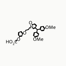 COc1ccc(C(c2ccc(OC)cc2)c2ccc(=O)n(CCCOc3cccc(OCC(=O)O)c3)c2)cc1